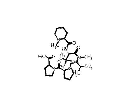 CC(C)[C@@H](CN1CCC[C@H]1C(=O)N1CCCC1C(=O)O)N(C)C(=O)[C@@H](NC(=O)C1CCCCN1C)C(C)(C)C